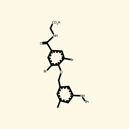 Cc1cc(COc2c(Br)cc(C(=O)NCC(=O)O)cc2Br)cc(NC(C)C)c1